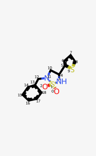 O=S1(=O)NC(c2cccs2)CN1Cc1ccccc1